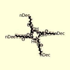 CCCCCCCCCCCCCCCC(=O)OCC(O)CN1CCCN(CC(O)COC(=O)CCCCCCCCCCCCCCC)CCN(CC(O)COC(=O)CCCCCCCCCCCCCCC)CCCN(CC(O)COC(=O)CCCCCCCCCCCCCCC)CC1